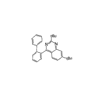 CC(C)(C)c1ccc2c(-c3ccccc3-c3ccccc3)nc(C(C)(C)C)nc2c1